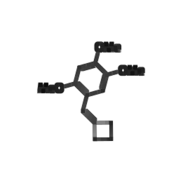 COc1cc(OC)c(OC)cc1C=C1CCC1